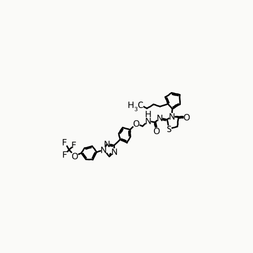 CCCCc1ccccc1N1C(=O)CS/C1=N\C(=O)NCOc1ccc(-c2ncn(-c3ccc(OC(F)(F)F)cc3)n2)cc1